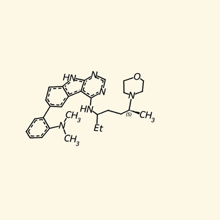 CCC(CC[C@H](C)N1CCOCC1)Nc1ncnc2[nH]c3ccc(-c4ccccc4N(C)C)cc3c12